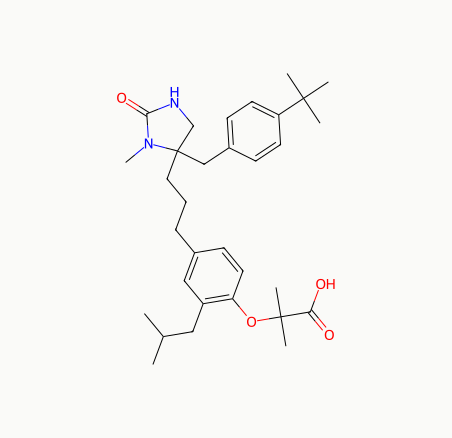 CC(C)Cc1cc(CCCC2(Cc3ccc(C(C)(C)C)cc3)CNC(=O)N2C)ccc1OC(C)(C)C(=O)O